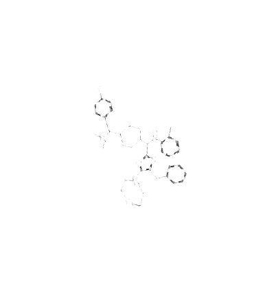 Cc1ccccc1NC(c1nc(Cc2ccccc2)c(N2CCOCC2)o1)C1CCC(C(c2ccc(F)cc2)N(C)C)CC1